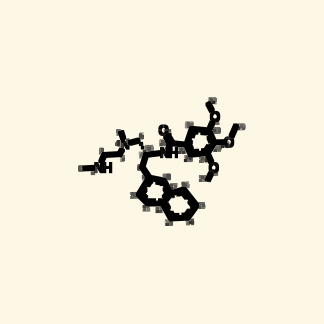 CNCCN(C)C[C@@H](Cc1ccc2ccccc2c1)NC(=O)c1cc(OC)c(OC)c(OC)c1